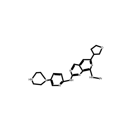 CC(C)Nc1nc(C2CCOC2)cc2cnc(Nc3ccc(N4CCNCC4)cn3)nc12